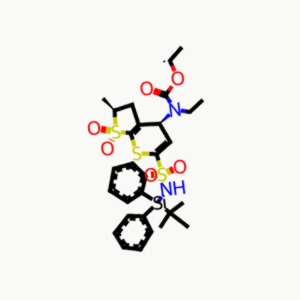 C[CH]OC(=O)N(CC)[C@H]1C=C(S(=O)(=O)N[Si](c2ccccc2)(c2ccccc2)C(C)(C)C)SC2=C1C[C@H](C)S2(=O)=O